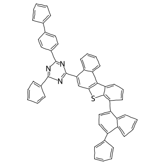 c1ccc(-c2ccc(-c3nc(-c4ccccc4)nc(-c4cc5sc6c(-c7ccc(-c8ccccc8)c8ccccc78)cccc6c5c5ccccc45)n3)cc2)cc1